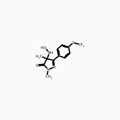 CN1N=C(c2ccc(SC(F)(F)F)cc2)C(C)(NO)C1=O